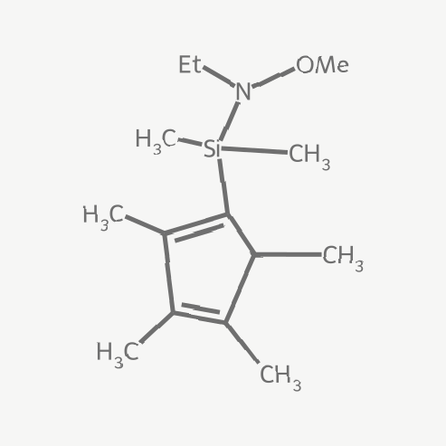 CCN(OC)[Si](C)(C)C1=C(C)C(C)=C(C)C1C